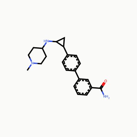 CN1CCC(NC2CC2c2ccc(-c3cccc(C(N)=O)c3)cc2)CC1